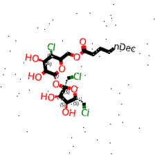 CCCCCCCCCCCCCC(=O)OCC1O[C@H](O[C@@]2(CCl)O[C@H](CCl)[C@@H](O)[C@H]2O)C(O)[C@@H](O)[C@H]1Cl